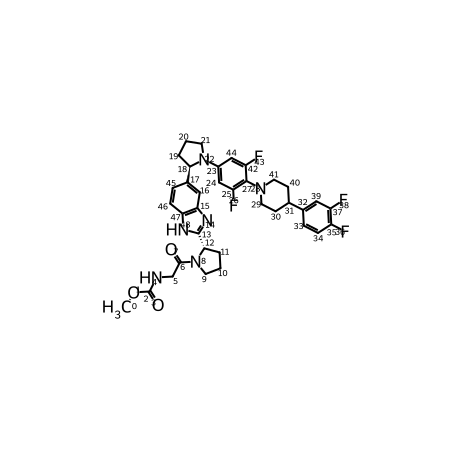 COC(=O)NCC(=O)N1CCC[C@H]1c1nc2cc([C@H]3CCCN3c3cc(F)c(N4CCC(c5ccc(F)c(F)c5)CC4)c(F)c3)ccc2[nH]1